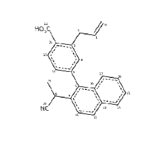 C=CCc1cc(-c2c(C(C)C#N)ccc3ccccc23)ccc1C(=O)O